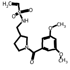 C=CS(=O)(=O)NCC1CCN(C(=O)c2cc(OC)cc(OC)c2)C1